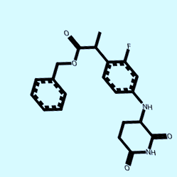 CC(C(=O)OCc1ccccc1)c1ccc(NC2CCC(=O)NC2=O)cc1F